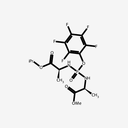 COC(=O)[C@H](C)NP(=O)(N[C@@H](C)C(=O)OC(C)C)Oc1c(F)c(F)c(F)c(F)c1F